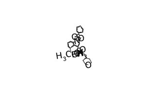 CC(C)c1cccc2c1c(S(=O)(=O)NCC1CCOCC1)cn2S(=O)(=O)c1ccccc1